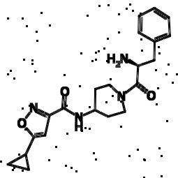 N[C@@H](Cc1ccccc1)C(=O)N1CCC(NC(=O)c2cc(C3CC3)on2)CC1